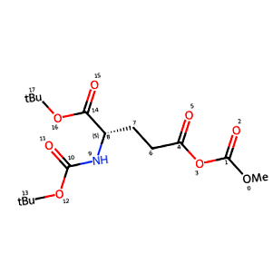 COC(=O)OC(=O)CC[C@H](NC(=O)OC(C)(C)C)C(=O)OC(C)(C)C